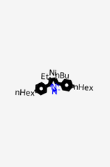 CCCCCCc1ccc(C2=C(CC)C(CCCC)=C(c3ccc(CCCCCC)cc3)[N+]2=[N-])cc1.[Ni]